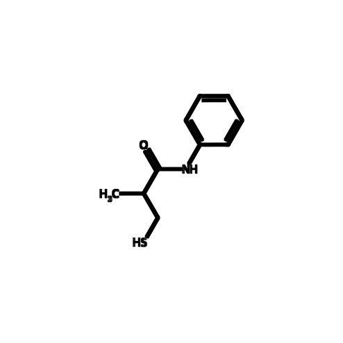 CC(CS)C(=O)Nc1ccccc1